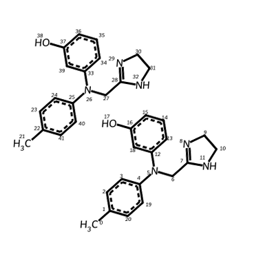 Cc1ccc(N(CC2=NCCN2)c2cccc(O)c2)cc1.Cc1ccc(N(CC2=NCCN2)c2cccc(O)c2)cc1